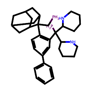 PCC1(c2ccc(-c3ccccc3)cc2C(P)(C2CCCCN2)C2CCCCN2)C2CC3CC(C2)CC1C3